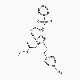 CCOC(=O)Cn1c(COc2ccc(C#N)cc2)nc2c(NS(=O)(=O)c3ccccc3)cccc21